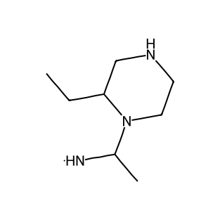 CCC1CNCCN1C(C)[NH]